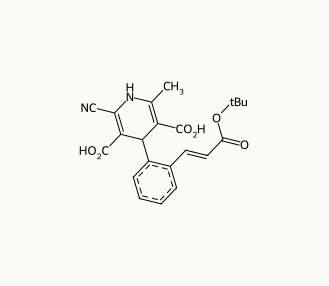 CC1=C(C(=O)O)C(c2ccccc2C=CC(=O)OC(C)(C)C)C(C(=O)O)=C(C#N)N1